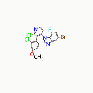 COc1ccc(-c2c(-n3cnc4cc(Br)cc(F)c43)ccnc2Cl)c(Cl)c1